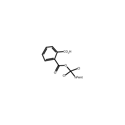 CCCCCC(Cl)(Cl)OC(=O)c1ccccc1C(=O)O